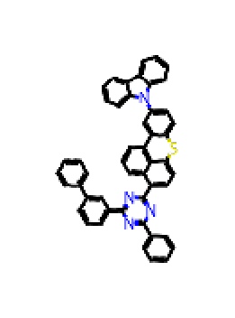 c1ccc(-c2cccc(-c3nc(-c4ccccc4)nc(-c4ccc5c6c(cccc46)-c4cc(-n6c7ccccc7c7ccccc76)ccc4S5)n3)c2)cc1